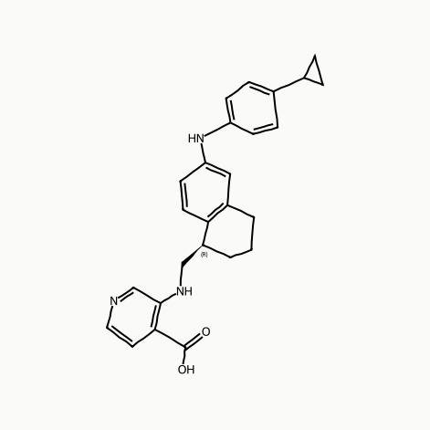 O=C(O)c1ccncc1NC[C@@H]1CCCc2cc(Nc3ccc(C4CC4)cc3)ccc21